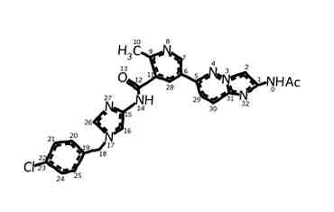 CC(=O)Nc1cn2nc(-c3cnc(C)c(C(=O)Nc4cn(Cc5ccc(Cl)cc5)cn4)c3)ccc2n1